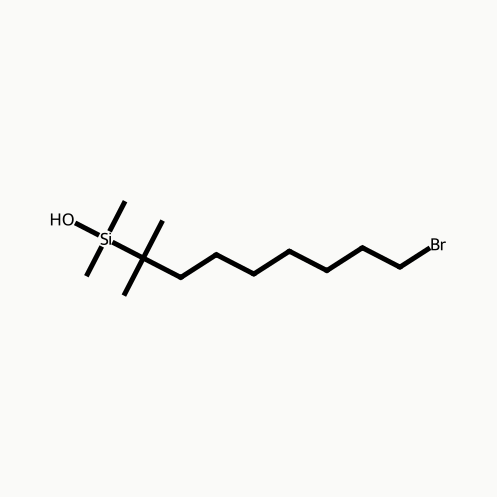 CC(C)(CCCCCCCBr)[Si](C)(C)O